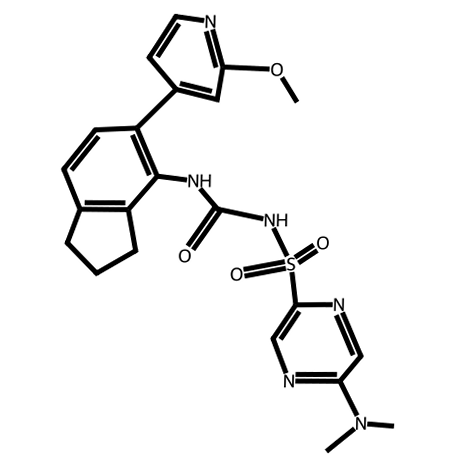 COc1cc(-c2ccc3c(c2NC(=O)NS(=O)(=O)c2cnc(N(C)C)cn2)CCC3)ccn1